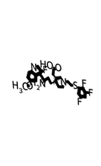 COc1ccc2ncc(F)c([C@@H](N)CC[C@@H]3CCN(CCSc4cc(F)cc(F)c4F)C[C@@H]3CC(=O)O)c2c1